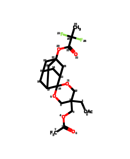 CC(=O)OCC1(COC(=O)C(F)(F)F)COC2(OC1)C1CC3CC2CC(OC(=O)C(C)(F)F)(C3)C1